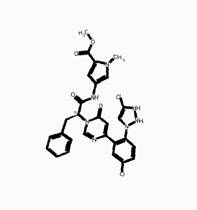 COC(=O)c1cc(NC(=O)[C@H](Cc2ccccc2)n2cnc(-c3cc(Cl)ccc3N3C=C(Cl)NN3)cc2=O)cn1C